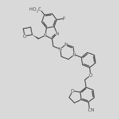 N#Cc1ccc(COc2cccc(N3C=NN(Cc4nc5c(F)cc(C(=O)O)cc5n4C[C@@H]4CCO4)CC3)c2)c2c1CCO2